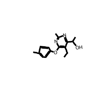 CCc1c(Oc2ccc(C)cc2)nc(C)nc1C(C)O